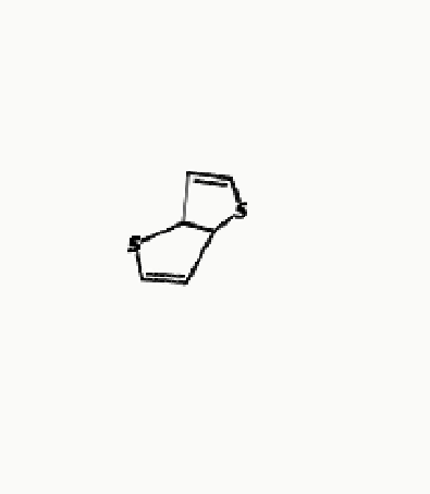 C1=CC2SC=CC2S1